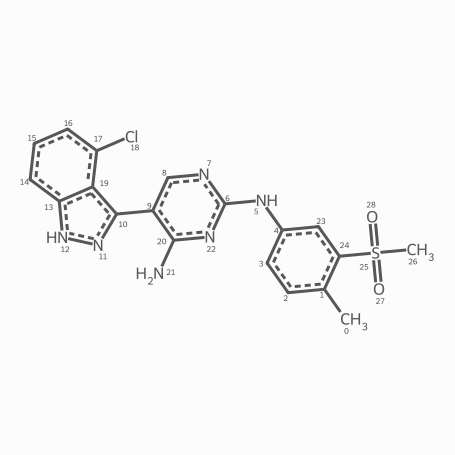 Cc1ccc(Nc2ncc(-c3n[nH]c4cccc(Cl)c34)c(N)n2)cc1S(C)(=O)=O